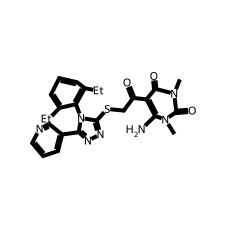 CCc1cccc(CC)c1-n1c(SCC(=O)c2c(N)n(C)c(=O)n(C)c2=O)nnc1-c1cccnc1